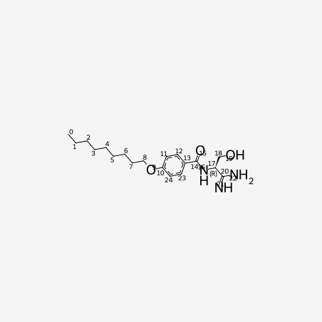 CCCCCCCCCOc1ccc(C(=O)N[C@@H](CO)C(=N)N)cc1